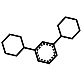 [c]1cc(C2CCCCC2)cc(C2CCCCC2)c1